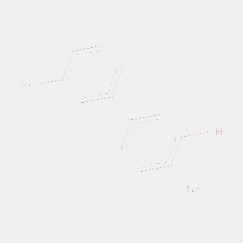 Nc1ccc(-c2cccc(O)c2)cc1O